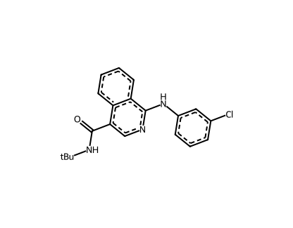 CC(C)(C)NC(=O)c1cnc(Nc2cccc(Cl)c2)c2ccccc12